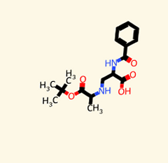 CC(NCC(NC(=O)c1ccccc1)C(=O)O)C(=O)OC(C)(C)C